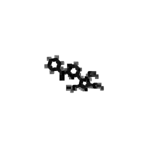 Cc1nc(C)n(C)c1-c1ccnc(Nc2ccccc2)n1